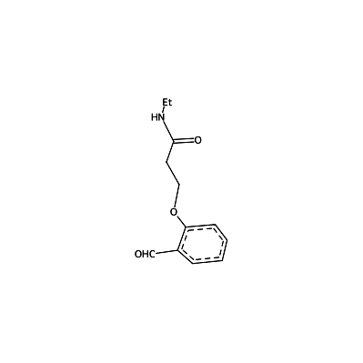 CCNC(=O)CCOc1ccccc1C=O